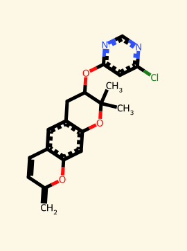 C=C1C=Cc2cc3c(cc2O1)OC(C)(C)C(Oc1cc(Cl)ncn1)C3